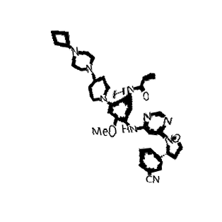 C=CC(=O)Nc1cc(Nc2cc(N3OCC[C@@H]3c3cccc(C#N)c3)ncn2)c(OC)cc1N1CCC(N2CCN(C3CCC3)CC2)CC1